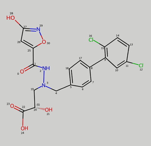 O=C(NN(Cc1ccc(-c2cc(Cl)ccc2Cl)cc1)C[C@H](O)C(=O)O)c1cc(O)no1